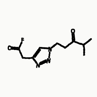 CC(C)C(=O)CCn1cc(CC(=O)F)nn1